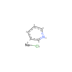 [Na][Cl].c1ccncc1